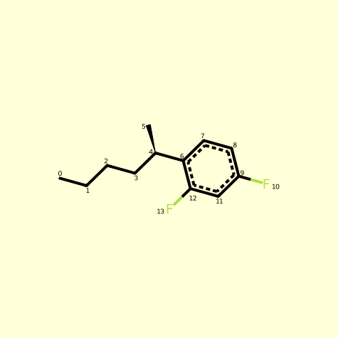 CCCC[C@@H](C)c1ccc(F)cc1F